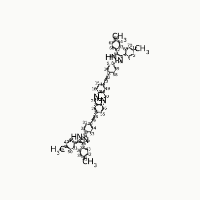 Cc1ccc(-c2nc(-c3ccc(C#Cc4ccc5c(c4)CN4CN5Cc5cc(C#Cc6ccc(-c7nc(-c8ccc(C)cc8)c(-c8ccc(C)cc8)[nH]7)cc6)ccc54)cc3)[nH]c2-c2ccc(C)cc2)cc1